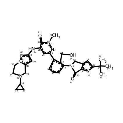 Cn1nc(-c2cccc(N3Cc4cc(C(C)(C)C)sc4C3=O)c2CO)cc(Nc2cc3n(n2)CCN(C2CC2)C3)c1=O